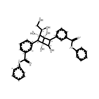 O=C(Oc1ccccc1)c1cccc(C2C(O)[C@@]3(O)C(c4cccc(C(=O)Oc5ccccc5)c4)[C@@](O)([C@H](O)CO)[C@@]23O)c1